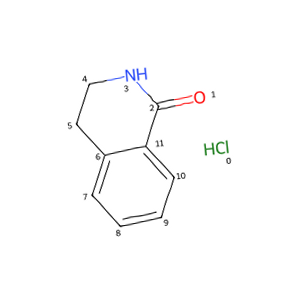 Cl.O=C1NCCc2ccccc21